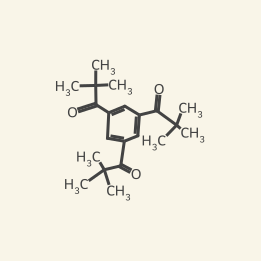 CC(C)(C)C(=O)c1cc(C(=O)C(C)(C)C)cc(C(=O)C(C)(C)C)c1